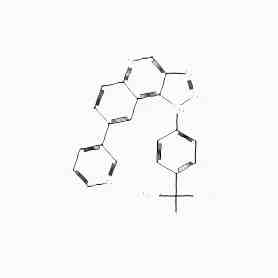 CC(C)(C#N)c1ccc(-n2nnc3cnc4ccc(-c5cccnc5)cc4c32)cc1